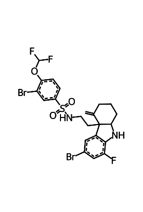 C=C1CCCC2Nc3c(F)cc(Br)cc3C12CCNS(=O)(=O)c1ccc(OC(F)F)c(Br)c1